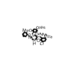 COc1cc(OC)c(CN2C[C@@H](Cc3cc(Cl)ccc3OC)C(=O)NCC2=NOc2ccccc2)c(OC)c1